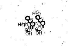 Cl.Cl.Nc1c2c(nc3ccccc13)CCc1cn(CC(=O)O)nc1-2.Nc1c2c(nc3ccccc13)CCc1cn(CC(=O)O)nc1-2.O